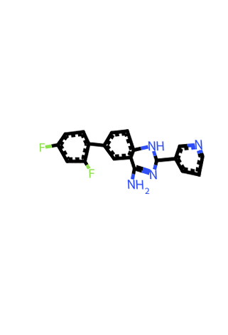 NC1=NC(c2cccnc2)Nc2ccc(-c3ccc(F)cc3F)cc21